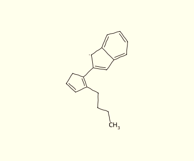 CCCCC1=C(C2=Cc3ccccc3[CH]2)CC=C1